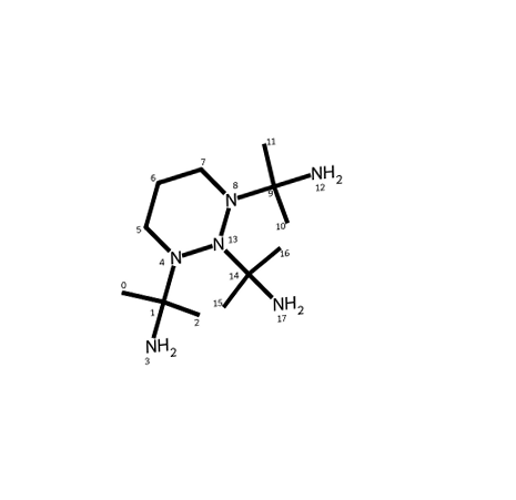 CC(C)(N)N1CCCN(C(C)(C)N)N1C(C)(C)N